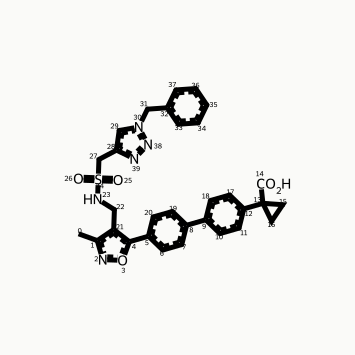 Cc1noc(-c2ccc(-c3ccc(C4(C(=O)O)CC4)cc3)cc2)c1CNS(=O)(=O)Cc1cn(Cc2ccccc2)nn1